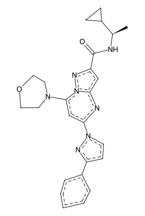 C[C@@H](NC(=O)c1cc2nc(-n3ccc(-c4ccccc4)n3)cc(N3CCOCC3)n2n1)C1CC1